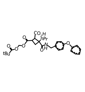 CCCC1(C(=O)NCc2ccc(Oc3ccccc3)cc2)CC(C(=O)OCOC(=O)C(C)(C)C)C1C(=O)O